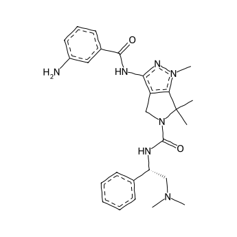 CN(C)C[C@@H](NC(=O)N1Cc2c(NC(=O)c3cccc(N)c3)nn(C)c2C1(C)C)c1ccccc1